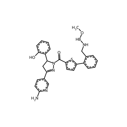 COBNCc1ccccc1-c1ccc(C(=O)N2N=C(c3ccc(N)nc3)CC2c2ccccc2O)s1